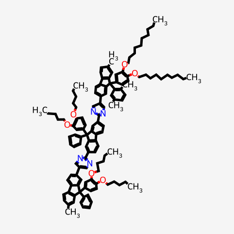 CCCCCCCCCCOc1ccc(C2(c3cc(C)ccc3C)c3cc(C)ccc3-c3ccc(-c4cnc(-c5ccc6c(c5)C(c5ccccc5)(c5ccc(OCCCCC)c(OCCCCC)c5)c5cc(-c7ncc(-c8ccc9c(c8)C(c8ccccc8)(c8ccc(OCCCCC)c(OCCCCC)c8)c8cc(C)ccc8-9)cn7)ccc5-6)nc4)cc32)cc1OCCCCCCCCCC